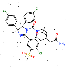 CC(C)Oc1cc(Cl)c(S(C)(=O)=O)cc1C1=N[C@@](C)(c2ccc(Cl)cc2)[C@@](C)(c2ccc(Cl)cc2)N1C(=O)N1CCC(CC(N)=O)CC1